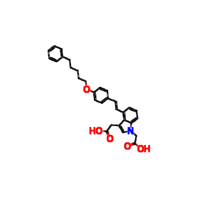 O=C(O)Cc1cn(CC(=O)O)c2cccc(C=Cc3ccc(OCCCCCc4ccccc4)cc3)c12